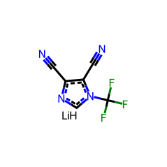 N#Cc1ncn(C(F)(F)F)c1C#N.[LiH]